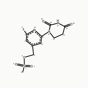 CS(=O)(=O)OCc1cc(F)nc(N2CCC(=O)NC2=O)c1